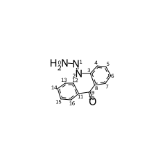 NN=Nc1ccccc1C(=O)c1ccccc1